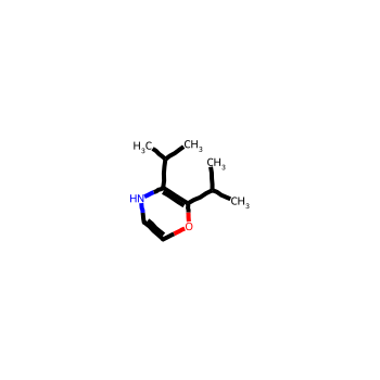 CC(C)C1=C(C(C)C)OC=CN1